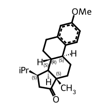 COc1ccc2c(c1)CC[C@H]1[C@@H]3[C@H](C(C)C)CC(=O)[C@@]3(C)CC[C@H]21